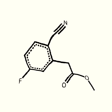 COC(=O)Cc1cc(F)ccc1C#N